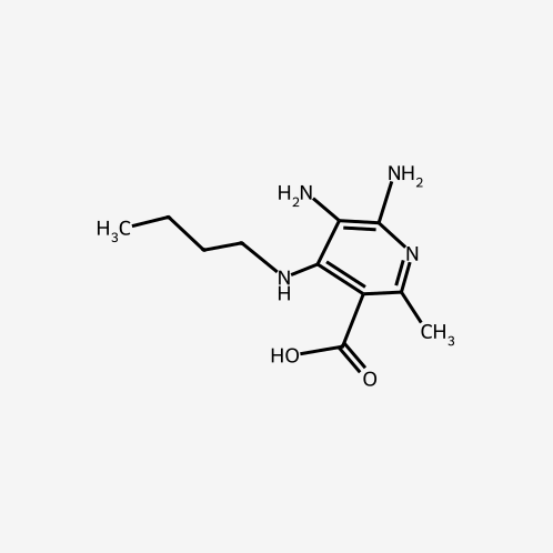 CCCCNc1c(N)c(N)nc(C)c1C(=O)O